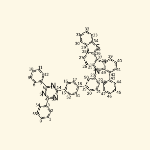 c1ccc(-c2nc(-c3ccccc3)nc(-c3ccc(-c4cccc(-n5c6ccc7c8ccccc8sc7c6c6cccc(-c7ccccc7)c65)c4)cc3)n2)cc1